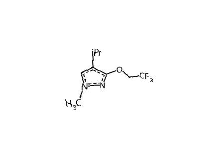 CC(C)c1cn(C)nc1OCC(F)(F)F